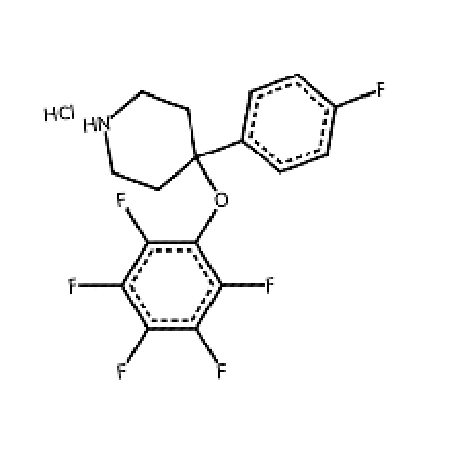 Cl.Fc1ccc(C2(Oc3c(F)c(F)c(F)c(F)c3F)CCNCC2)cc1